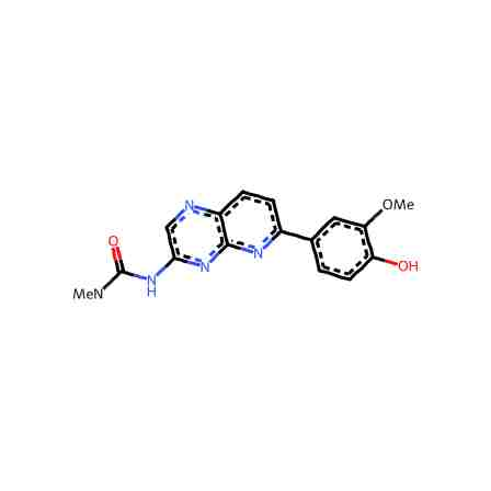 CNC(=O)Nc1cnc2ccc(-c3ccc(O)c(OC)c3)nc2n1